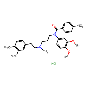 COc1ccc(CCN(C)CCCN(C(=O)c2ccc([N+](=O)[O-])cc2)c2ccc(OC(C)C)c(OC(C)C)c2)cc1OC.Cl